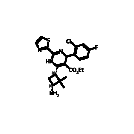 CCOC(=O)C1=C([C@H]2C[C@@H](N)C2(C)C)NC(c2nccs2)=NC1c1ccc(F)cc1Cl